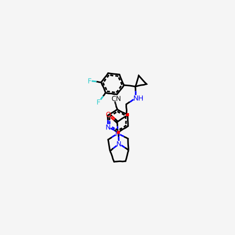 N#Cc1ccc(N2C3CCC2CN(C(=O)CCNC2(c4ccc(F)c(F)c4)CC2)C3)nc1